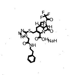 O=C(Cn1nnnc1SCC1=C(C(=O)O)N2C(=O)[C@@H]3[C@H]2[C@H](C1)CN3C(=O)C(F)(F)F)NCCc1ccccc1.[NaH]